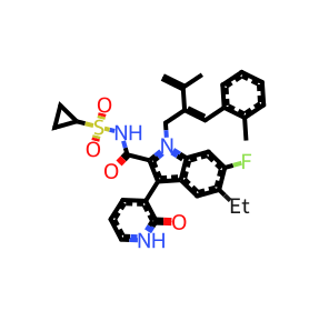 C=C(C)/C(=C\c1ccccc1C)Cn1c(C(=O)NS(=O)(=O)C2CC2)c(-c2ccc[nH]c2=O)c2cc(CC)c(F)cc21